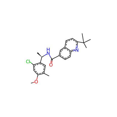 COc1cc(Cl)c([C@@H](C)NC(=O)c2ccc3nc(C(C)(C)C)ccc3c2)cc1C